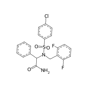 NC(=O)C(c1ccccc1)N(Cc1c(F)cccc1F)S(=O)(=O)c1ccc(Cl)cc1